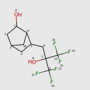 OC1CC2CC(CC(O)(C(F)(F)F)C(F)(F)F)C1C2